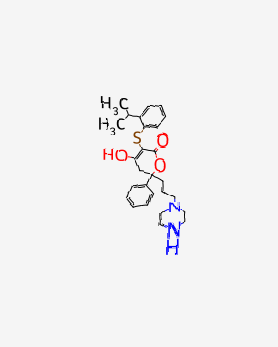 CC(C)c1ccccc1SC1=C(O)CC(CCCN2CCNCC2)(c2ccccc2)OC1=O